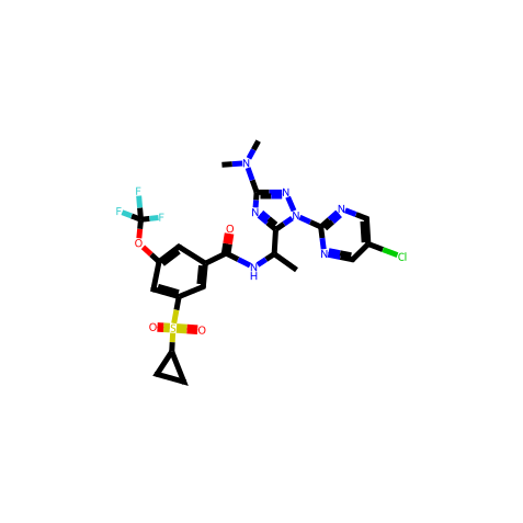 CC(NC(=O)c1cc(OC(F)(F)F)cc(S(=O)(=O)C2CC2)c1)c1nc(N(C)C)nn1-c1ncc(Cl)cn1